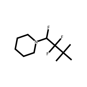 CC(C)(C)C(F)(F)C(F)N1CCCCC1